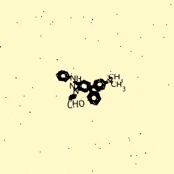 CN(C)c1ccc(C2(c3ccccc3)C=Cc3c(Nc4ccccc4)nn(C=CC=O)c3C2)cc1